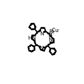 Brc1c2nc(c(-c3ccccc3)c3ccc([nH]3)c(-c3ccccc3)c3nc(c(-c4ccccc4)c4ccc1[nH]4)C=C3)C=C2.[Cu]